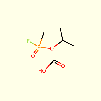 CC(C)OP(C)(=O)F.O=CO